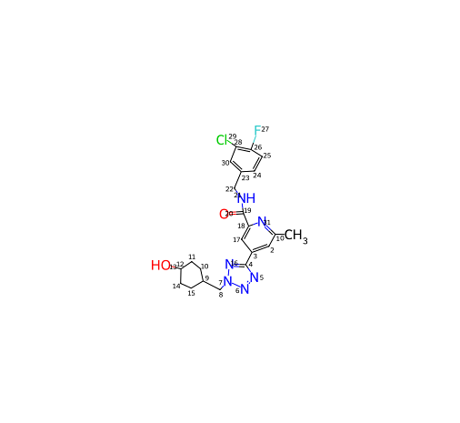 Cc1cc(-c2nnn(CC3CCC(O)CC3)n2)cc(C(=O)NCc2ccc(F)c(Cl)c2)n1